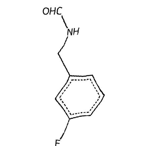 O=CNCc1cccc(F)c1